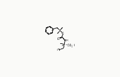 CC(C)C[C@@](C)(NC(=O)OC(C)(C)Cc1ccccc1)C(=O)O